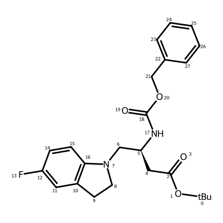 CC(C)(C)OC(=O)C[C@@H](CN1CCc2cc(F)ccc21)NC(=O)OCc1ccccc1